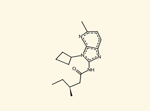 CC[C@H](C)CC(=O)Nc1nc2ccc(C)nc2n1C1CCC1